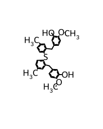 COc1ccc(Cc2cc(C)ccc2Sc2ccc(C)cc2Cc2ccc(OC)c(O)c2)cc1O